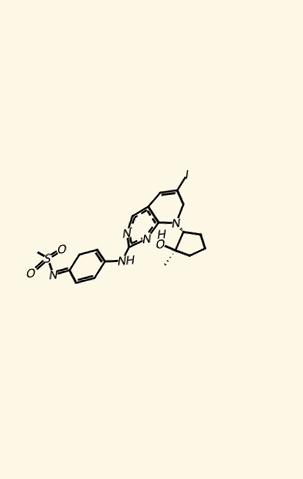 C[C@@]1(O)CCC[C@H]1N1CC(I)=Cc2cnc(NC3=CCC(=NS(C)(=O)=O)C=C3)nc21